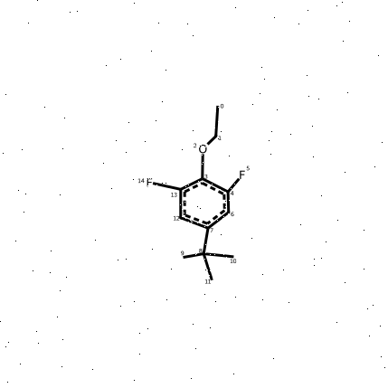 CCOc1c(F)cc(C(C)(C)C)cc1F